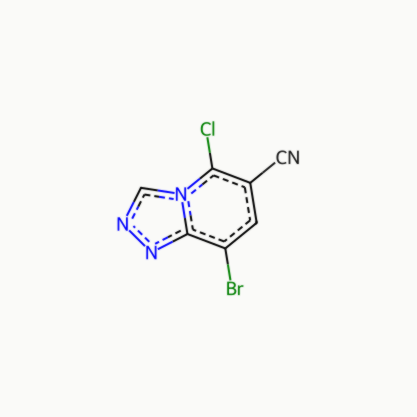 N#Cc1cc(Br)c2nncn2c1Cl